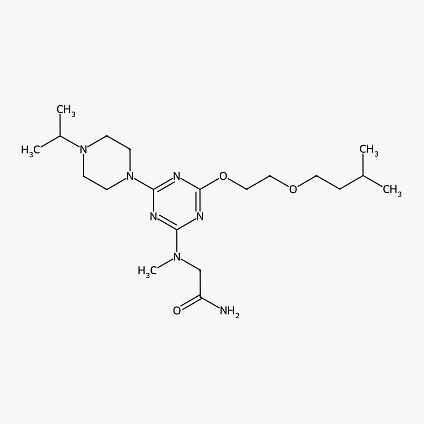 CC(C)CCOCCOc1nc(N(C)CC(N)=O)nc(N2CCN(C(C)C)CC2)n1